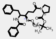 CO/N=C(\CCC(=O)N1CCC[C@H]1C(=O)OC(C)(C)C)C(Cc1ccccc1)NC(=O)c1ccccc1